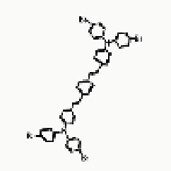 Brc1ccc(N(c2ccc(Br)cc2)c2ccc(C=Cc3ccc(C=Cc4ccc(N(c5ccc(Br)cc5)c5ccc(Br)cc5)cc4)cc3)cc2)cc1